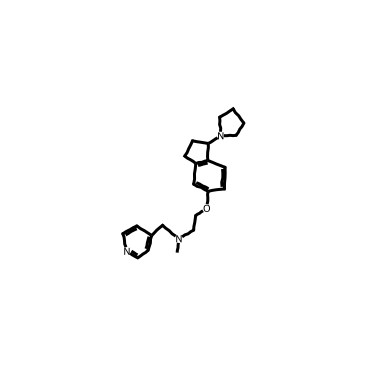 CN(CCOc1ccc2c(c1)CCC2N1CCCC1)Cc1ccncc1